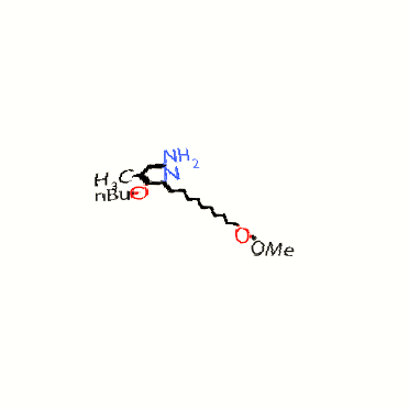 CCCCOc1c(C)cc(N)nc1CCCCCCCCCCOCOC